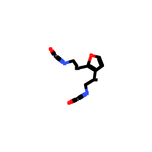 O=C=NC[Se]c1ccoc1[Se]CN=C=O